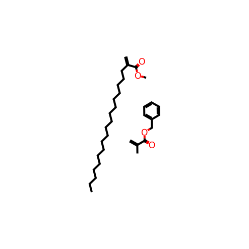 C=C(C)C(=O)OCc1ccccc1.C=C(CCCCCCCCCCCCCCCCCC)C(=O)OC